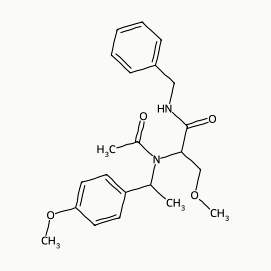 COCC(C(=O)NCc1ccccc1)N(C(C)=O)C(C)c1ccc(OC)cc1